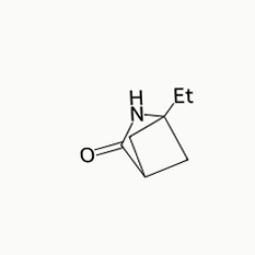 CCC12CC(C1)C(=O)N2